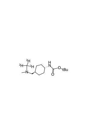 [2H]C([2H])([2H])N(C)C[C@H]1CC[C@H](NC(=O)OC(C)(C)C)CC1